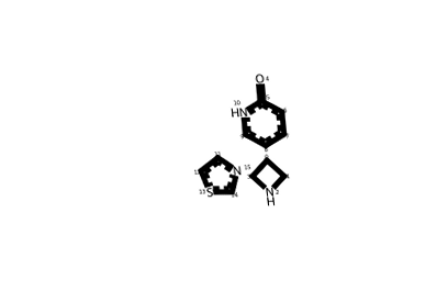 C1CNC1.O=c1cccc[nH]1.c1cscn1